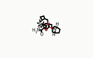 CC(C)(C(=O)N(CCN1[C@@H]2CC[C@H]1C[C@@H](c1cccc(C(N)=O)c1)C2)CC1CCC1)S(C)(=O)=O